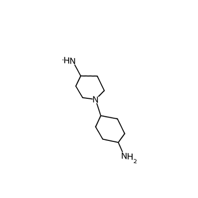 [NH]C1CCN(C2CCC(N)CC2)CC1